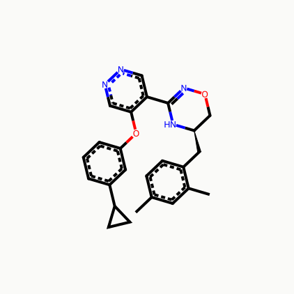 Cc1ccc(C[C@@H]2CON=C(c3cnncc3Oc3cccc(C4CC4)c3)N2)c(C)c1